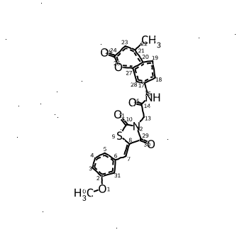 COc1cccc(/C=C2\SC(=O)N(CC(=O)Nc3ccc4c(C)cc(=O)oc4c3)C2=O)c1